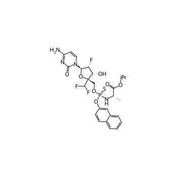 CC(C)OC(=O)[C@H](C)NP(=S)(OC[C@@]1(C(F)F)O[C@@H](n2ccc(N)nc2=O)[C@H](F)[C@@H]1O)Oc1ccc2ccccc2c1